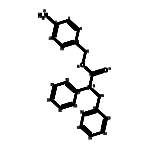 Nc1ccc(COC(=O)N(Cc2ccccc2)c2ccccc2)cc1